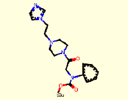 CC(C)(C)OC(=O)N(CC(=O)N1CCN(CCn2ccnc2)CC1)c1ccccc1